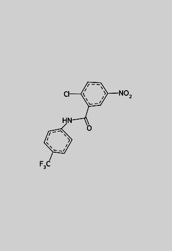 O=C(Nc1ccc(C(F)(F)F)cc1)c1cc([N+](=O)[O-])ccc1Cl